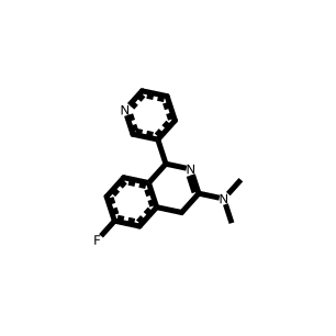 CN(C)C1=NC(c2cccnc2)c2ccc(F)cc2C1